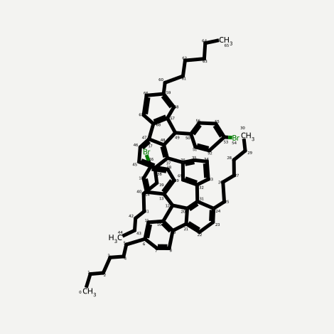 CCCCCCc1ccc2c(c1)C(c1ccc(Br)cc1)c1c-2ccc(CCCCCC)c1-c1cccc(-c2c(CCCCCC)ccc3c2C(c2ccc(Br)cc2)c2cc(CCCCCC)ccc2-3)c1